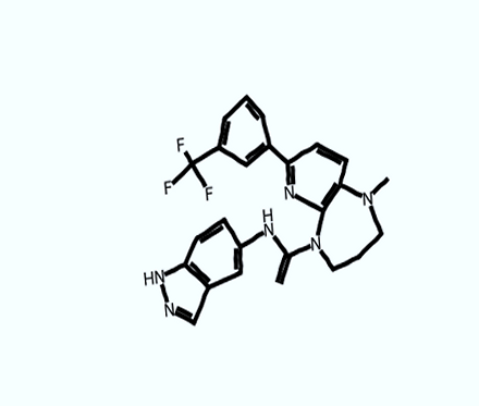 C=C(Nc1ccc2[nH]ncc2c1)N1CCCN(C)c2ccc(-c3cccc(C(F)(F)F)c3)nc21